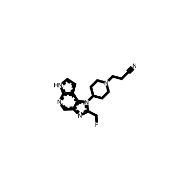 N#CCCN1CCC(n2c(CF)nc3cnc4[nH]ccc4c32)CC1